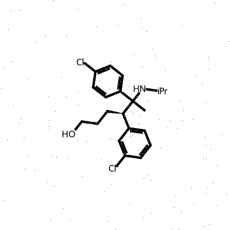 CC(C)NC(C)(c1ccc(Cl)cc1)[C@H](CCCO)c1cccc(Cl)c1